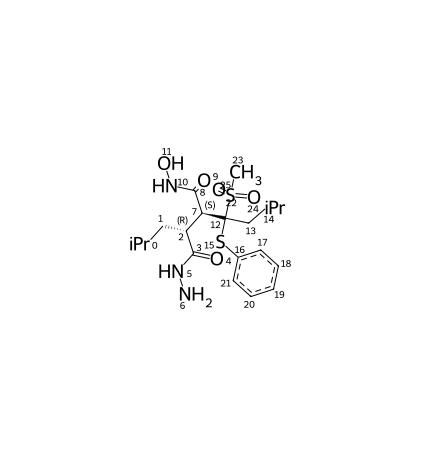 CC(C)C[C@@H](C(=O)NN)[C@@H](C(=O)NO)C(CC(C)C)(Sc1ccccc1)S(C)(=O)=O